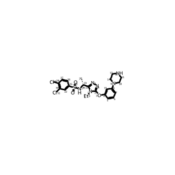 CCn1c(Oc2cccc(N3CCNCC3)c2)nnc1[C@@H](C)NS(=O)(=O)c1ccc(Cl)c(Cl)c1